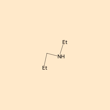 [CH]CCNCC